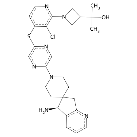 CC(C)(O)C1CN(c2nccc(Sc3cnc(N4CCC5(CC4)Cc4ncccc4[C@H]5N)cn3)c2Cl)C1